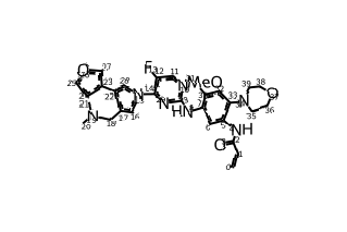 C=CC(=O)Nc1cc(Nc2ncc(F)c(-n3cc(CN(C)C)c(-c4ccoc4)c3)n2)c(OC)cc1N1CCOCC1